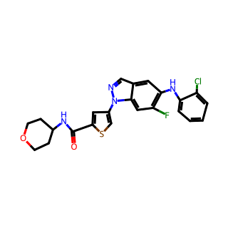 O=C(NC1CCOCC1)c1cc(-n2ncc3cc(Nc4ccccc4Cl)c(F)cc32)cs1